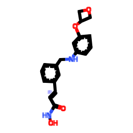 O=C(/C=C/c1cccc(CNc2cccc(OC3COC3)c2)c1)NO